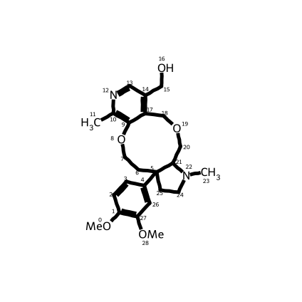 COc1ccc(C23CCOc4c(C)ncc(CO)c4COCC2N(C)CC3)cc1OC